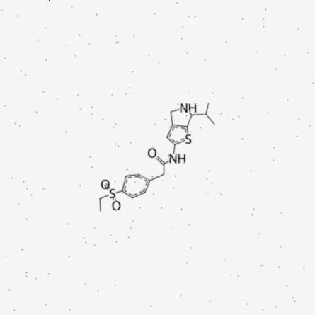 CCS(=O)(=O)c1ccc(CC(=O)Nc2cc3c(s2)C(C(C)C)NC3)cc1